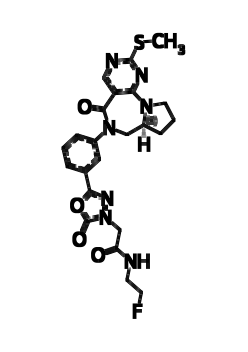 CSc1ncc2c(n1)N1CCC[C@H]1CN(c1cccc(-c3nn(CC(=O)NCCF)c(=O)o3)c1)C2=O